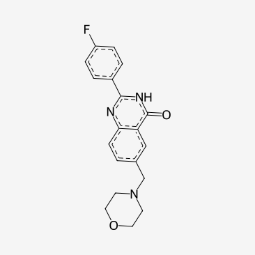 O=c1[nH]c(-c2ccc(F)cc2)nc2ccc(CN3CCOCC3)cc12